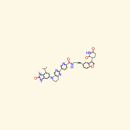 CC(C)c1cc(N2CCCc3nc(-c4ccc(C(=O)NCC#Cc5ccc6occ(C7CCC(=O)NC7=O)c6c5)nc4)ncc32)cc2c1n(C)c(=O)n2C